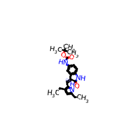 CCc1cc(CC)c(/C=C2\C(=O)Nc3ccc(NC(=O)OC(C)(C)C)cc32)[nH]1